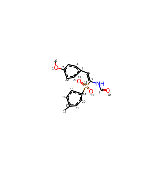 COc1ccc(C=C(NC=O)S(=O)(=O)c2ccc(C)cc2)cc1